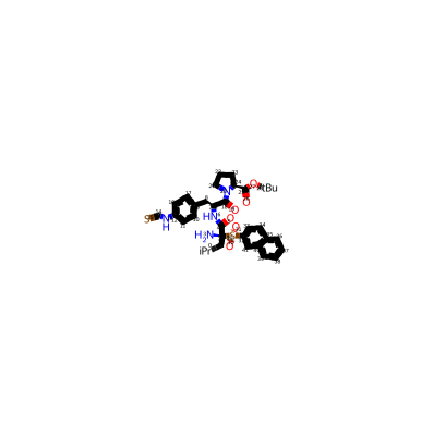 CC(C)C[C@](N)(C(=O)N[C@@H](Cc1ccc(NC=S)cc1)C(=O)N1CCC[C@H]1C(=O)OC(C)(C)C)S(=O)(=O)c1ccc2ccccc2c1